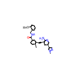 COc1ccccc1CNC(=O)c1ccc(C)c(C#Cc2cc(-c3cnn(C)c3)cnc2N)c1